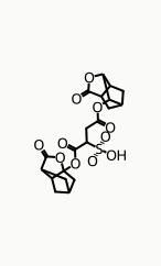 O=C(CC(C(=O)OC12CC3CC(C(=O)O1)C2C3)S(=O)(=O)O)OC1C2CC3C(=O)OC1C3C2